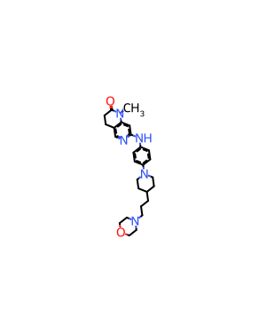 CN1C(=O)CCc2cnc(Nc3ccc(N4CCC(CCCN5CCOCC5)CC4)cc3)cc21